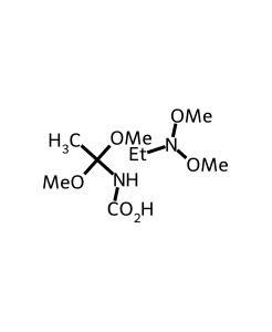 CCN(OC)OC.COC(C)(NC(=O)O)OC